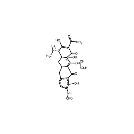 CN(C)[C@@H]1C(O)=C(C(N)=O)C(=O)[C@@]2(O)C(O)=C3C(=O)c4c(ccc(NC=O)c4O)CC3CC12.O=S(=O)(O)O